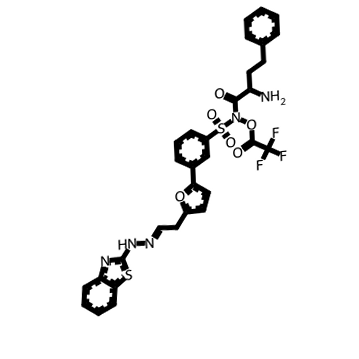 NC(CCc1ccccc1)C(=O)N(OC(=O)C(F)(F)F)S(=O)(=O)c1cccc(-c2ccc(CC=NNc3nc4ccccc4s3)o2)c1